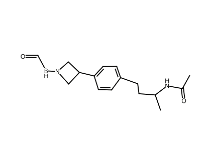 CC(=O)NC(C)CCc1ccc(C2CN(BC=O)C2)cc1